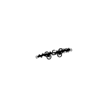 CCCCCOC(=O)CCSCCC(=O)OCCCCC